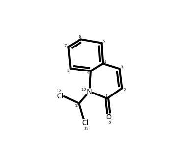 O=c1ccc2ccccc2n1C(Cl)Cl